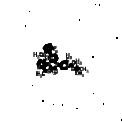 COc1cccc(F)c1-c1nc2c(cc1F)n(C1CCN(C(=O)OC(C)(C)C)[C@H](C)C1)c(=O)c(=O)n2-c1c(C)ccnc1C(C)C